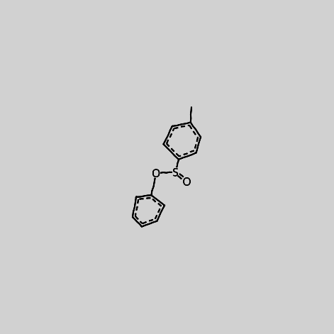 Cc1ccc(S(=O)Oc2ccccc2)cc1